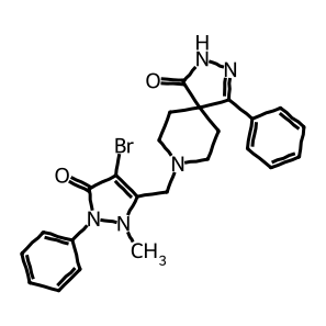 Cn1c(CN2CCC3(CC2)C(=O)NN=C3c2ccccc2)c(Br)c(=O)n1-c1ccccc1